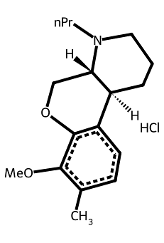 CCCN1CCC[C@H]2c3ccc(C)c(OC)c3OC[C@@H]21.Cl